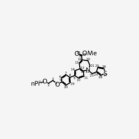 CCCOCCOc1ccc(-c2ccc3c(c2)C=C(C(=O)OC)CCN3Cc2ccsc2)cc1